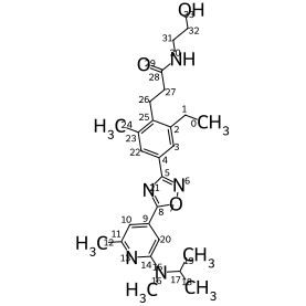 CCc1cc(-c2noc(-c3cc(C)nc(N(C)C(C)C)c3)n2)cc(C)c1CCC(=O)NCCO